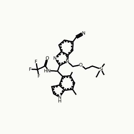 Cc1cc(C)c2[nH]ccc2c1C(NC(=O)C(F)(F)F)c1nc2ccc(C#N)cc2n1COCC[Si](C)(C)C